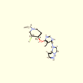 Cc1c(O[C@@H]2CCN(C(=O)O)C[C@@H]2F)ncnc1N1CCn2nccc21